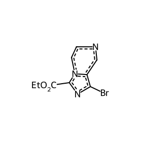 CCOC(=O)c1nc(Br)c2cnccn12